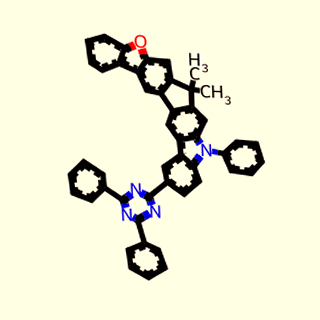 CC1(C)c2cc3oc4ccccc4c3cc2-c2cc3c4cc(-c5nc(-c6ccccc6)nc(-c6ccccc6)n5)ccc4n(-c4ccccc4)c3cc21